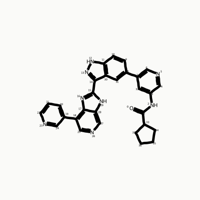 O=C(Nc1cncc(-c2ccc3[nH]nc(-c4nc5c(-c6cccnc6)cncc5[nH]4)c3c2)c1)C1CCCC1